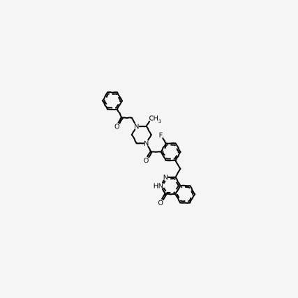 CC1CN(C(=O)c2cc(Cc3n[nH]c(=O)c4ccccc34)ccc2F)CCN1CC(=O)c1ccccc1